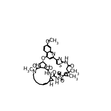 COc1ccc2c(O[C@@H]3C[C@H]4C(=O)N[C@]5(C(=O)NS(=O)(=O)C6CC6)C[C@H]5/C=C\CCCCN(C)C(=O)[C@@H]4C3)cc(-c3csc(NC(=O)CC(C)(C)C)n3)nc2c1